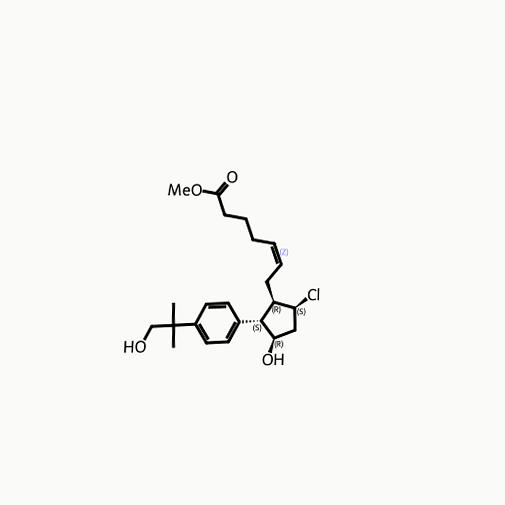 COC(=O)CCC/C=C\C[C@@H]1[C@@H](c2ccc(C(C)(C)CO)cc2)[C@H](O)C[C@@H]1Cl